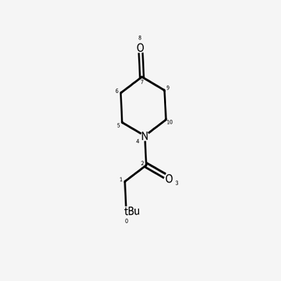 CC(C)(C)CC(=O)N1CCC(=O)CC1